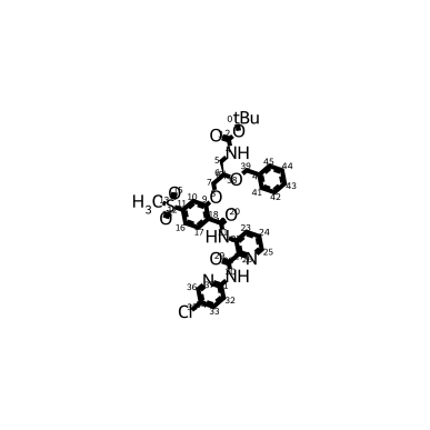 CC(C)(C)OC(=O)NC[C@H](COc1cc(S(C)(=O)=O)ccc1C(=O)Nc1cccnc1C(=O)Nc1ccc(Cl)cn1)OCc1ccccc1